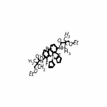 CCOCC(C)(C)C(=O)Nc1ccc(F)[c]([Ti]([C]2=CC=CC2)([C]2=CC=CC2)[c]2c(F)ccc(NC(=O)C(C)(C)COCC)c2F)c1F